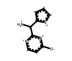 NC(c1nccc(Cl)n1)c1cccs1